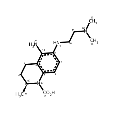 C[C@H]1CCc2c(ccc(NCCN(C)C)c2N)N1C(=O)O